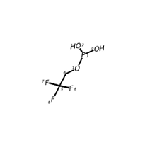 OP(O)OCC(F)(F)F